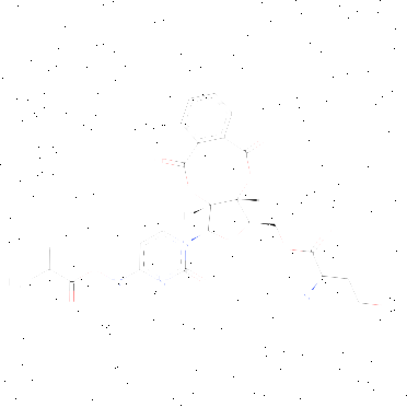 CC(C)C(=O)ONc1ccn([C@@H]2O[C@H](COC(=O)[C@H](N)CCO)[C@H]3OC(=O)c4ccccc4C(=O)O[C@H]32)c(=O)n1